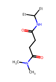 CCC(CC)NC(=O)CCC(=O)N(C)C